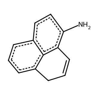 Nc1ccc2cccc3c2c1C=CC3